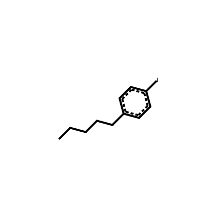 CCCCCc1ccc(I)cc1